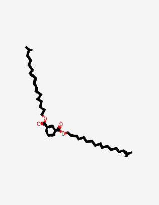 CC(C)CCCCCCCCCCCCCCCOC(=O)C1CCCC(C(=O)OCCCCCCCCCCCCCCCC(C)C)C1